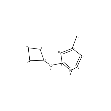 Cc1[c]cnc(OC2CCC2)c1